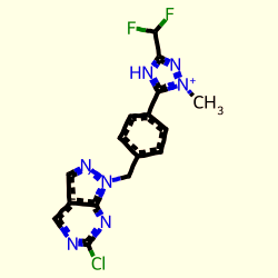 C[n+]1nc(C(F)F)[nH]c1-c1ccc(Cn2ncc3cnc(Cl)nc32)cc1